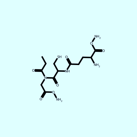 CCC(=O)N(CC(=O)ON)C(=O)C(CS)NC(=O)CCC(N)C(=O)ON